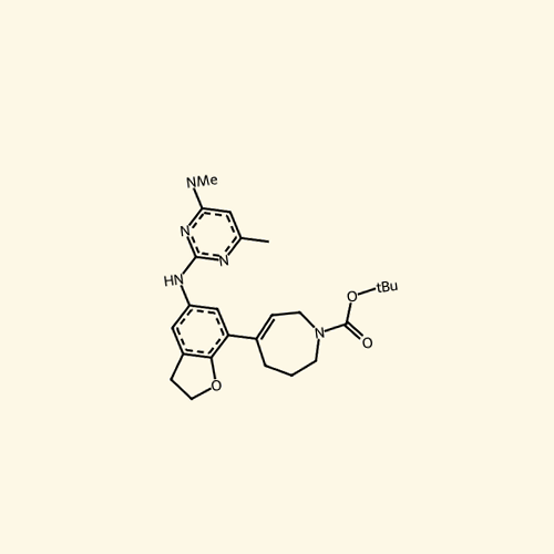 CNc1cc(C)nc(Nc2cc3c(c(C4=CCN(C(=O)OC(C)(C)C)CCC4)c2)OCC3)n1